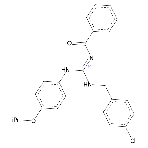 CC(C)Oc1ccc(N/C(=N\C(=O)c2ccccc2)NCc2ccc(Cl)cc2)cc1